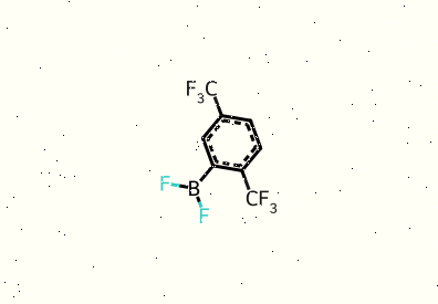 FB(F)c1cc(C(F)(F)F)ccc1C(F)(F)F